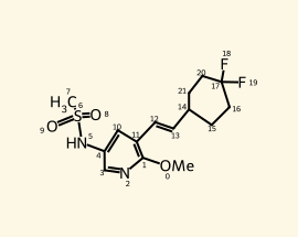 COc1ncc(NS(C)(=O)=O)cc1/C=C/C1CCC(F)(F)CC1